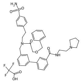 NS(=O)(=O)c1ccc(CCN(Cc2cccc(-c3cccc(C(=O)NCCN4CCCC4)c3)c2)C(=O)COCc2ccccc2)cc1.O=C(O)C(F)(F)F